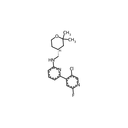 CC1(C)C[C@H](CNc2cccc(-c3cc(F)ncc3Cl)n2)CCO1